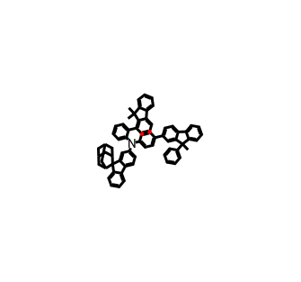 CC1(C)c2ccccc2-c2cccc(-c3ccccc3N(c3ccc(-c4ccc5c(c4)C(C)(c4ccccc4)c4ccccc4-5)cc3)c3ccc4c(c3)C3(c5ccccc5-4)C4CC5CC(C4)CC3C5)c21